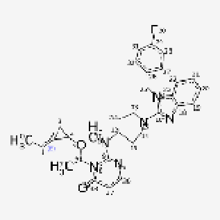 C/C=C1\CC1OC(C)n1c(N(C)C2CCN(c3nc4ccccc4n3Cc3ccc(F)cc3)CC2)nccc1=O